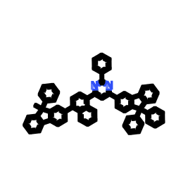 CC1(c2ccccc2)c2ccccc2-c2ccc(-c3ccc(-c4cc(-c5ccc6c(c5)-c5ccccc5C6(c5ccccc5)c5ccccc5)nc(-c5ccccc5)n4)c4ccccc34)cc21